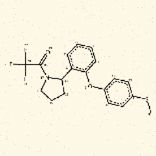 CSc1ccc(Oc2ccccc2C2CCCN2C(=O)C(F)(F)F)cc1